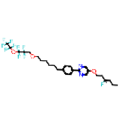 CCC[C@@H](F)CCOc1cnc(-c2ccc(CCCCCCOCC(F)(F)C(F)(F)OC(F)(F)C(F)(F)F)cc2)nc1